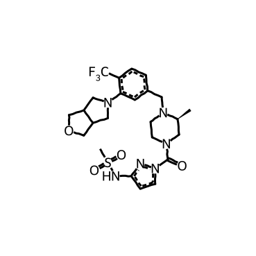 C[C@H]1CN(C(=O)n2ccc(NS(C)(=O)=O)n2)CCN1Cc1ccc(C(F)(F)F)c(N2CC3COCC3C2)c1